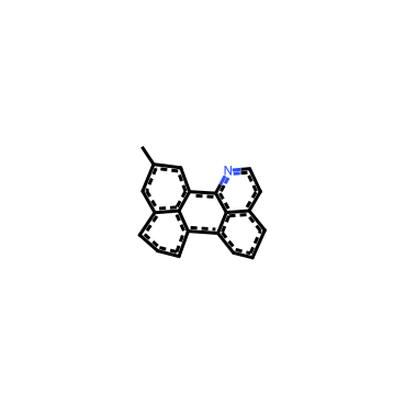 Cc1cc2cccc3c4cccc5ccnc(c(c1)c23)c54